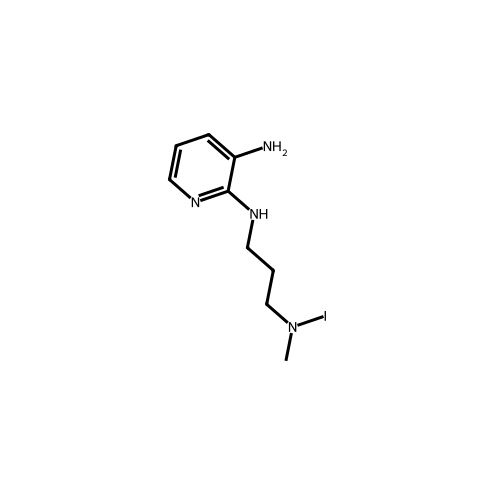 CN(I)CCCNc1ncccc1N